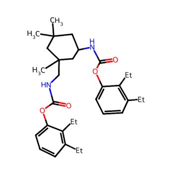 CCc1cccc(OC(=O)NCC2(C)CC(NC(=O)Oc3cccc(CC)c3CC)CC(C)(C)C2)c1CC